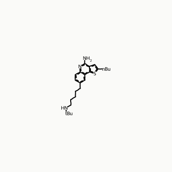 CCCCc1cc2c(N)nc3ccc(CCCCCNC(C)(C)C)cc3c2s1